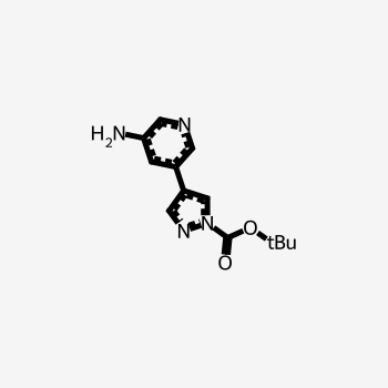 CC(C)(C)OC(=O)n1cc(-c2cncc(N)c2)cn1